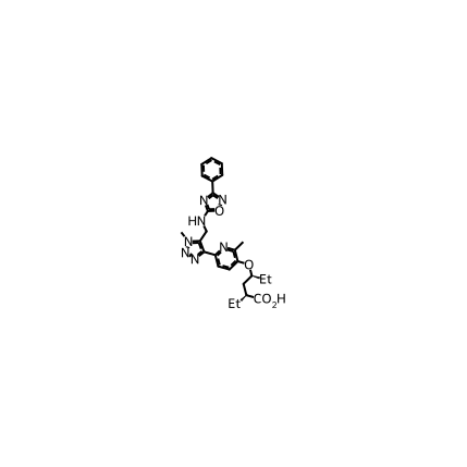 CC[C@@H](C[C@H](CC)C(=O)O)Oc1ccc(-c2nnn(C)c2CNc2nc(-c3ccccc3)no2)nc1C